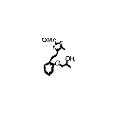 COc1nc(C=Cc2ccccc2OCC(C)O)c(C)s1